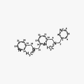 CN(Cc1cccnc1)Cc1cccc(CN(C)Cc2cccnc2)n1